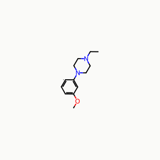 CCN1CCN(c2[c]ccc(OC)c2)CC1